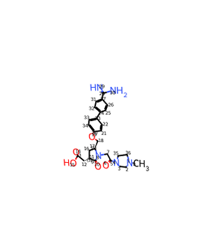 CN1CCN(C(=O)CN2C(=O)[C@H](CC(=O)O)C[C@H]2COc2ccc(-c3ccc(C(=N)N)cc3)cc2)CC1